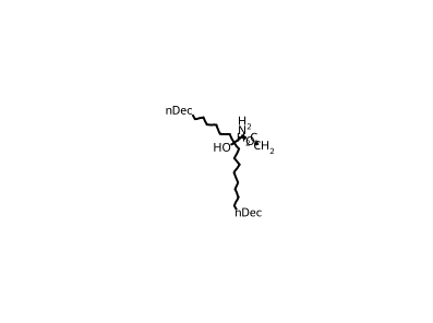 C=C.CCCCCCCCCCCCCCCCCCC(O)(CCCCCCCCCCCCCCCC)C(N)=O